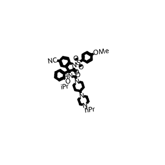 CCCN1CCN(C2CCN(C(=O)NC3(c4ccccc4OC(C)C)C(=O)N(S(=O)(=O)c4ccc(OC)cc4)c4ccc(C#N)cc43)CC2)CC1